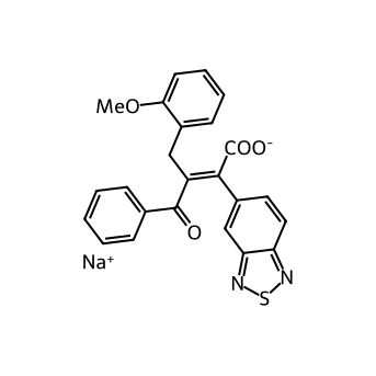 COc1ccccc1CC(C(=O)c1ccccc1)=C(C(=O)[O-])c1ccc2nsnc2c1.[Na+]